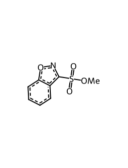 [CH2]OS(=O)(=O)c1noc2ccccc12